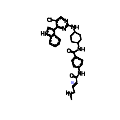 CN(I)C/C=C/C(=O)Nc1ccc(C(=O)NC2CCC(Nc3ncc(Cl)c(-c4c[nH]c5ccccc45)n3)CC2)cc1